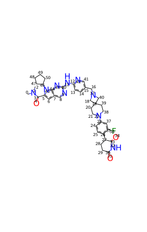 CN(C)C(=O)c1cc2cnc(Nc3ccc(CN4CC5(CCN(c6ccc([C@@H]7CCC(=O)NC7=O)c(F)c6)CC5)C4)cn3)nc2n1C1CCCC1